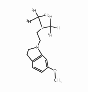 [2H]C([2H])([2H])N(CCN1CCc2ccc(OC)cc21)C([2H])([2H])[2H]